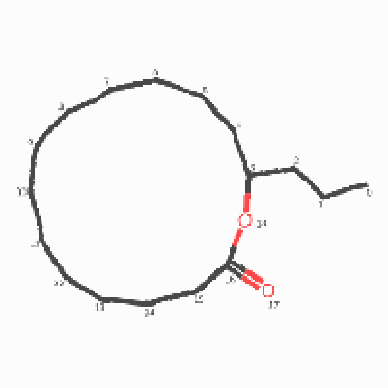 CCCC1CCCCCCCCCCCCC(=O)O1